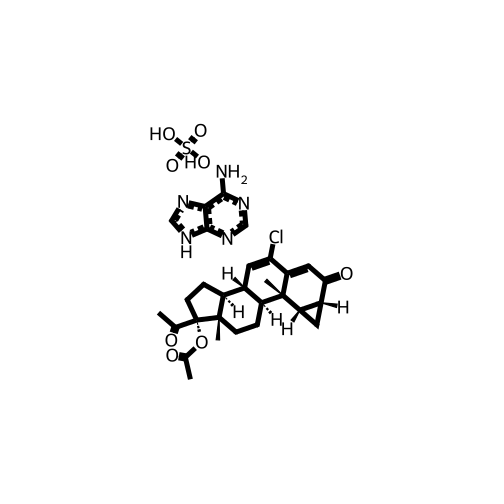 CC(=O)O[C@]1(C(C)=O)CC[C@H]2[C@@H]3C=C(Cl)C4=CC(=O)[C@@H]5C[C@@H]5[C@]4(C)[C@H]3CC[C@@]21C.Nc1ncnc2[nH]cnc12.O=S(=O)(O)O